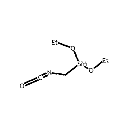 CCO[SiH](CN=C=O)OCC